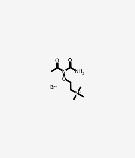 CC(=O)N(OCC[N+](C)(C)C)C(N)=O.[Br-]